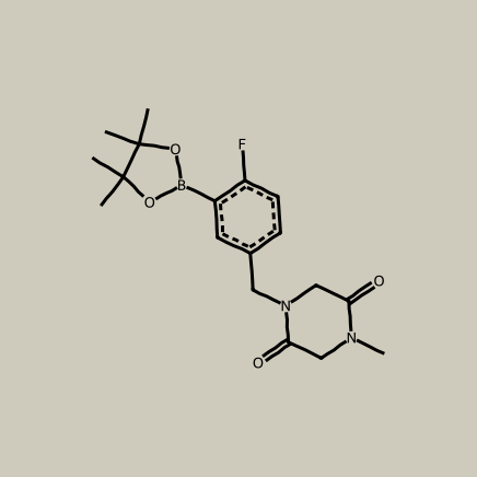 CN1CC(=O)N(Cc2ccc(F)c(B3OC(C)(C)C(C)(C)O3)c2)CC1=O